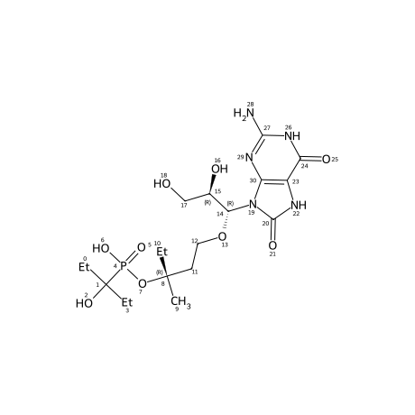 CCC(O)(CC)P(=O)(O)O[C@](C)(CC)CCO[C@H]([C@H](O)CO)n1c(=O)[nH]c2c(=O)[nH]c(N)nc21